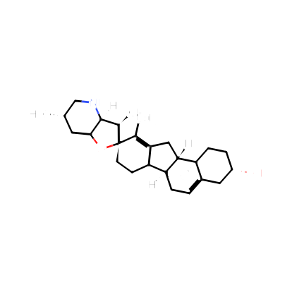 CC1=C2C[C@H]3[C@@H](CC=C4C[C@@H](O)CC[C@@]43C)C2CC[C@]12OC1C[C@H](C)CN[C@H]1[C@H]2C